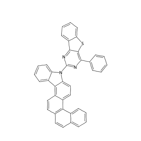 c1ccc(-c2nc(-n3c4ccccc4c4c5ccc6ccc7ccccc7c6c5ccc43)nc3c2sc2ccccc23)cc1